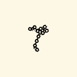 c1ccc(C2(c3ccccc3)c3ccccc3-c3c(N(c4ccc(-c5ccc(-c6ccc7sc8ccccc8c7c6)cc5)cc4)c4ccc(-c5cccc6c5oc5ccccc56)cc4)cccc32)cc1